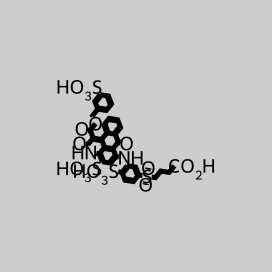 O=C(O)CCCS(=O)(=O)c1ccc(S(=O)(=O)O)c(Nc2cc(S(=O)(=O)O)c3[nH]c(=O)c(C(=O)OCc4cccc(S(=O)(=O)O)c4)c4c3c2C(=O)c2ccccc2-4)c1